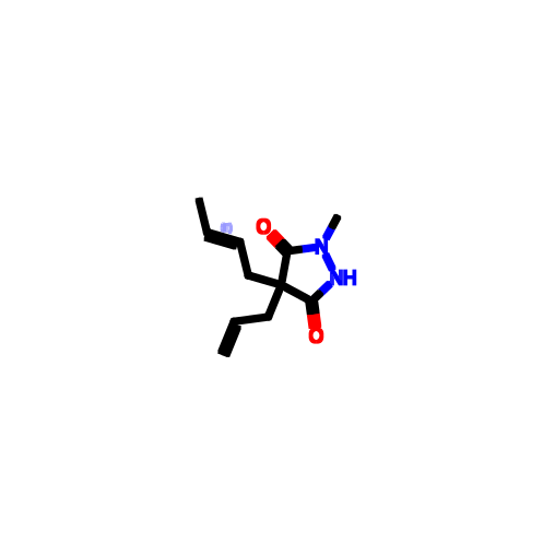 C=CCC1(C/C=C/C)C(=O)NN(C)C1=O